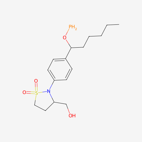 CCCCCC(OP)c1ccc(N2C(CO)CCS2(=O)=O)cc1